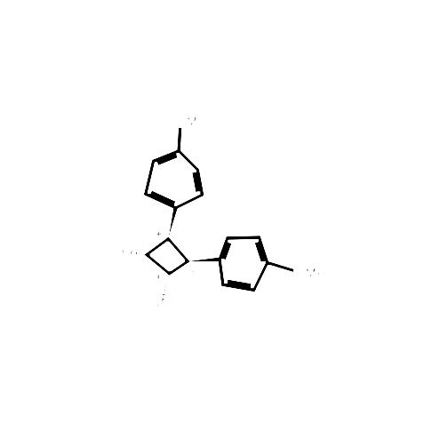 COc1ccc([C@@H]2[C@@H](C)[C@@H](C)[C@@H]2c2ccc(OC)cc2)cc1